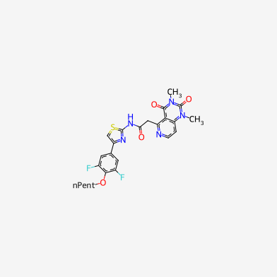 CCCCCOc1c(F)cc(-c2csc(NC(=O)Cc3nccc4c3c(=O)n(C)c(=O)n4C)n2)cc1F